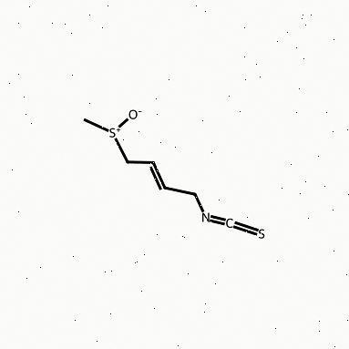 C[S+]([O-])CC=CCN=C=S